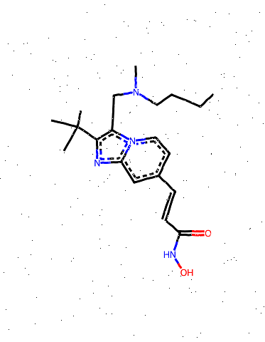 CCCCN(C)Cc1c(C(C)(C)C)nc2cc(C=CC(=O)NO)ccn12